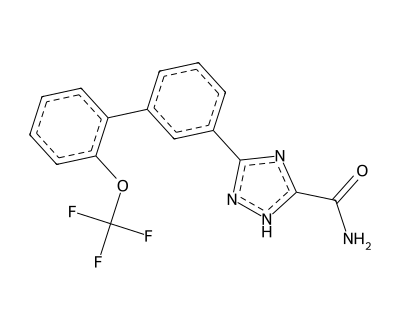 NC(=O)c1nc(-c2cccc(-c3ccccc3OC(F)(F)F)c2)n[nH]1